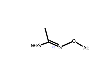 CS/C(C)=N/OC(C)=O